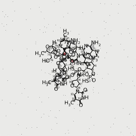 COP(=O)(S)OC1C[C@H](n2cnc3c(N)ncnc32)O[C@@H]1COP(=O)(S)OC1C[C@H](n2cc(C)c(=O)[nH]c2=O)O[C@@H]1COP(=O)(S)OC1[C@@H]2O[C@@H](C)[C@@]1(COP(=O)(S)OC1[C@@H]3O[C@@H](C)[C@@]1(COP(=O)(S)OC1[C@@H]4O[C@@H](C)[C@@]1(CO)O[C@H]4n1cc(C)c(N)nc1=O)O[C@H]3n1cc(C)c(=O)[nH]c1=O)O[C@H]2n1cc(C)c(=O)[nH]c1=O